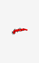 CCCCCC1CCC(C2CCC(OC(=O)c3ccc(C4CCC(C(F)(F)Oc5cc(F)c(F)c(F)c5)CC4)c(F)c3)CC2)CC1